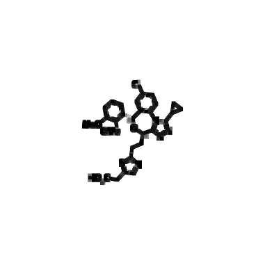 COc1cccc([C@H]2O[C@H](CCc3ncc(CC(=O)O)s3)c3nnc(C4CC4)n3-c3ccc(Cl)cc32)c1OC